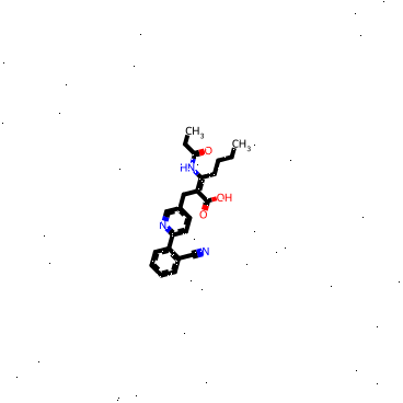 CCCC/C(NC(=O)CC)=C(/Cc1ccc(-c2ccccc2C#N)nc1)C(=O)O